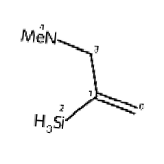 C=C([SiH3])CNC